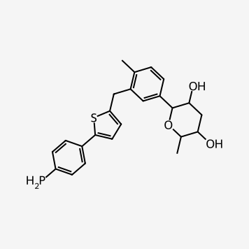 Cc1ccc(C2OC(C)C(O)CC2O)cc1Cc1ccc(-c2ccc(P)cc2)s1